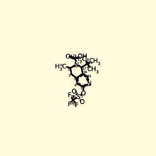 CC1Cc2cc(OS(=O)(=O)C(F)(F)F)ncc2C(C(C)(C)C)N1C(=O)O